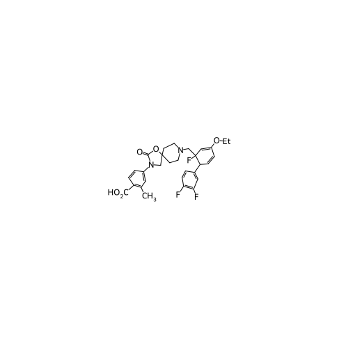 CCOC1=CC(F)(CN2CCC3(CC2)CN(c2ccc(C(=O)O)c(C)c2)C(=O)O3)C(c2ccc(F)c(F)c2)C=C1